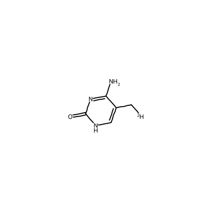 [2H]Cc1c[nH]c(=O)nc1N